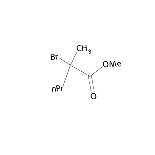 CCCC(C)(Br)C(=O)OC